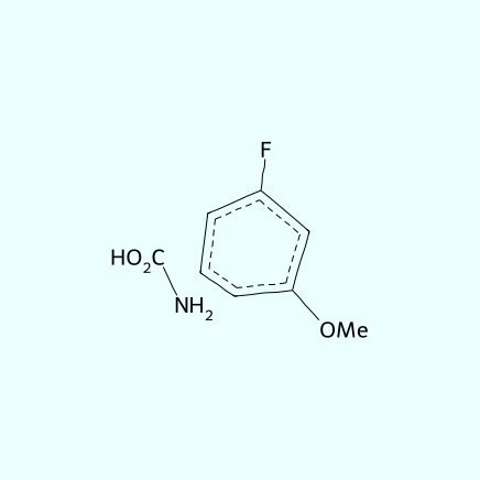 COc1cccc(F)c1.NC(=O)O